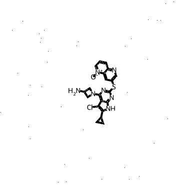 NC1CN(c2nc(Sc3cnc4ccc[n+]([O-])c4c3)nc3[nH]c(C4CC4)c(Cl)c23)C1